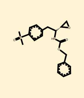 CP(C)(=O)c1ccc(CC(NC(=O)OCc2ccccc2)[C@@H]2CO2)cc1